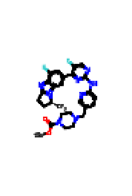 CC(C)(C)OC(=O)N1CCN(Cc2ccc(Nc3ncc(F)c(-c4cc(F)c5nc6n(c5c4)[C@H](C(F)(F)F)CC6)n3)nc2)CC1